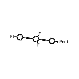 CCCCCc1ccc(C#Cc2c(F)cc(C#Cc3ccc(CC)cc3)cc2F)cc1